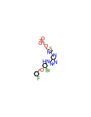 CS(=O)(=O)CCOCc1nc(-c2cc3c(Nc4ccc(OCc5cccc(F)c5)c(Br)c4)ncnc3cn2)cs1